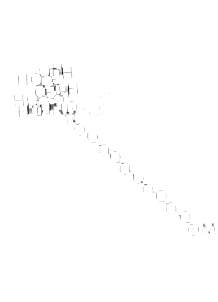 COCCOCCOCCOCCOCCOCCOCCOCCOCCOCCOCCN(CCNC(=O)[C@H](O)[C@@H](O)[C@H](O[C@@H]1O[C@H](CO)[C@H](O)[C@H](O)[C@H]1O)[C@H](O)CO)C(=O)/C=C(\C)C=C/C=C(C)\C=C\C1=C(C)CCCC1(C)C